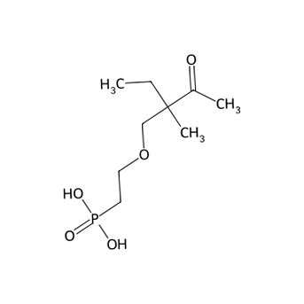 CCC(C)(COCCP(=O)(O)O)C(C)=O